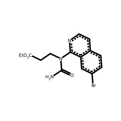 CCOC(=O)CCN(C(N)=O)c1nccc2ccc(Br)cc12